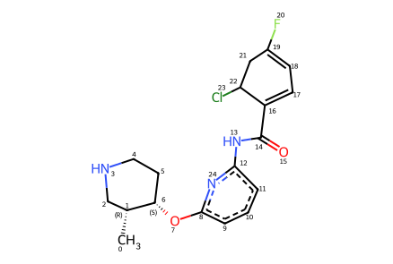 C[C@@H]1CNCC[C@@H]1Oc1cccc(NC(=O)C2=CC=C(F)CC2Cl)n1